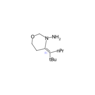 CCC/C(=C1/CCOCN1N)C(C)(C)C